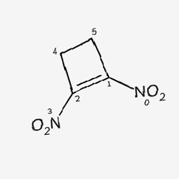 O=[N+]([O-])C1=C([N+](=O)[O-])CC1